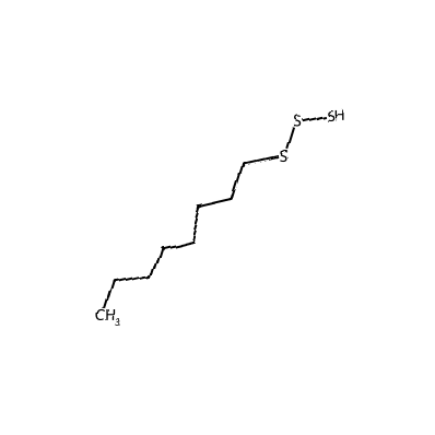 CCCCCCCCSSS